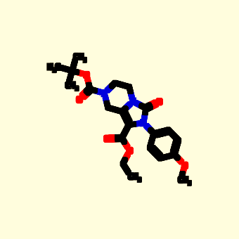 CCOC(=O)c1c2n(c(=O)n1-c1ccc(OC)cc1)CCN(C(=O)OC(C)(C)C)C2